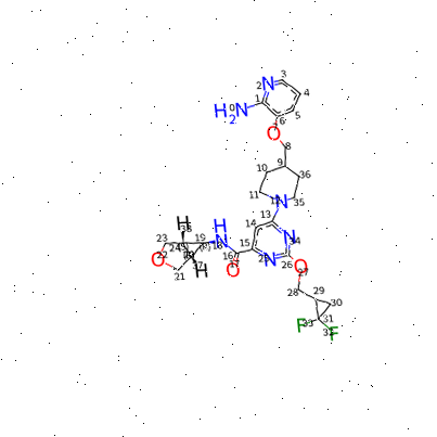 Nc1ncccc1OCC1CCN(c2cc(C(=O)N[C@H]3[C@@H]4COC[C@@H]43)nc(OCC3CC3(F)F)n2)CC1